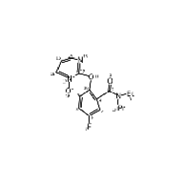 CCN(C(=O)c1cc(F)ccc1Oc1nccc[n+]1[O-])C(C)C